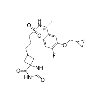 C[C@@H](NS(=O)(=O)CCCC1CC2(C1)NC(=O)NC2=O)c1ccc(F)c(OCC2CC2)c1